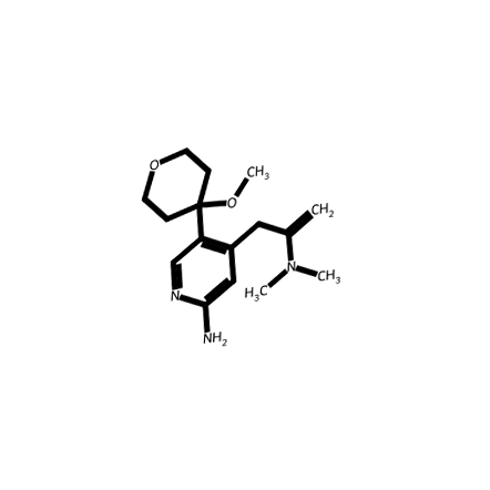 C=C(Cc1cc(N)ncc1C1(OC)CCOCC1)N(C)C